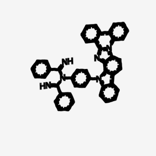 N=C(c1ccccc1)N(C(=N)c1ccccc1)c1ccc(-n2c3ccccc3c3ccc4c(nc5c6ccccc6c6ccccc6n45)c32)cc1